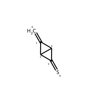 C=C1C2C(=S)C12